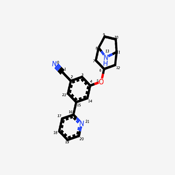 N#Cc1cc(OC2CC3CCC(C2)N3)cc(-c2ccccn2)c1